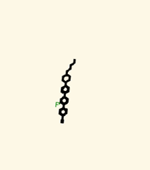 C#Cc1ccc(-c2ccc(-c3ccc(C4CCC(CCCCC)CC4)cc3)cc2F)cc1